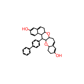 OC1=CC2=CCC3OC4CC=C5C=C(O)CCC5OC4C(c4ccc(-c5ccccc5)cc4)C3C2C=C1